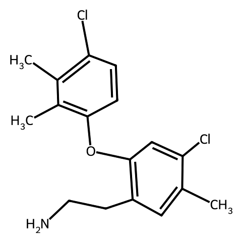 Cc1cc(CCN)c(Oc2ccc(Cl)c(C)c2C)cc1Cl